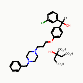 CCC(O)(c1ccc(OCCCN2CCN(Cc3ccccc3)CC2)cc1)c1cccc(Cl)c1.O=C(O)CC(O)(CC(=O)O)C(=O)O